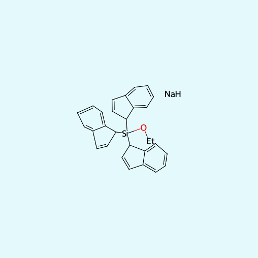 CCO[Si](C1C=Cc2ccccc21)(C1C=Cc2ccccc21)C1C=Cc2ccccc21.[NaH]